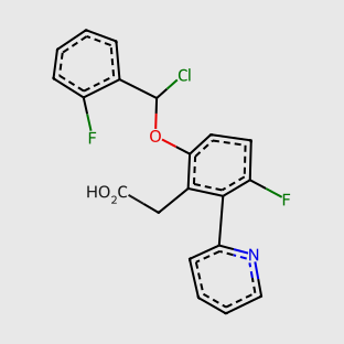 O=C(O)Cc1c(OC(Cl)c2ccccc2F)ccc(F)c1-c1ccccn1